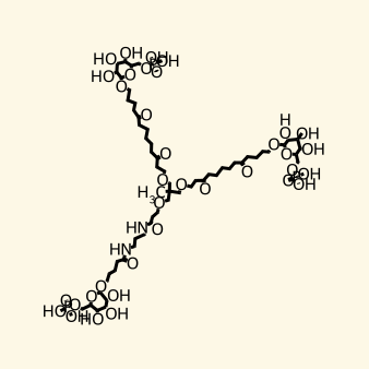 CC(COCCC(=O)CCCCCC(=O)CCCCOC1OC(COP(=O)(O)O)C(O)C(O)C1O)(COCCC(=O)CCCCCC(=O)CCCCOC1OC(COP(=O)(O)O)C(O)C(O)C1O)COCCC(=O)NCCCNC(=O)CCCCOC1OC(COP(=O)(O)O)C(O)C(O)C1O